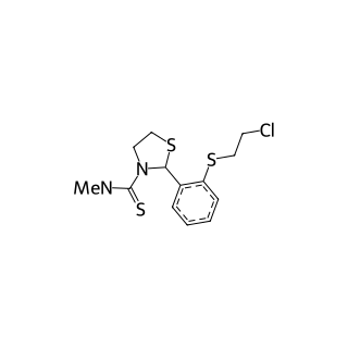 CNC(=S)N1CCSC1c1ccccc1SCCCl